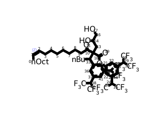 CCCCCCCC/C=C\CCCCCCCC(=O)C(CC(O)CO)(C(=O)Oc1cc(C(C(F)(F)F)C(F)(F)F)cc(C(C(F)(F)F)C(F)(F)F)c1)C(CCCC)c1cc(C(C(F)(F)F)C(F)(F)F)cc(C(C(F)(F)F)C(F)(F)F)c1